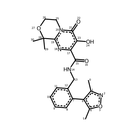 Cc1noc(C)c1-c1ccccc1CNC(=O)c1nc2n(c(=O)c1O)CCOC2(C)C